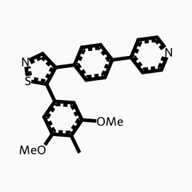 COc1cc(-c2sncc2-c2ccc(-c3ccncc3)cc2)cc(OC)c1C